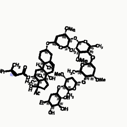 CC[C@H]1C[C@@H](O[C@H]2[C@H](C)O[C@@H](O[C@H]3[C@@H](OC)C[C@H](O[C@@H]4[C@H](C)O[C@@H](O[C@H]5[C@@H](OC)C[C@H](O[C@H]6CC[C@@]7(C)C(=CC[C@]8(O)[C@@H]7C[C@@H](OC(=O)/C=C(\C)C(C)C)[C@@]7(C)[C@]8(O)CC[C@@]7(O)C(C)=O)C6)O[C@@H]5C)C[C@@H]4OC)O[C@@H]3C)C[C@H]2OC)[C@H](O)[C@@H](O)[C@@H]1O